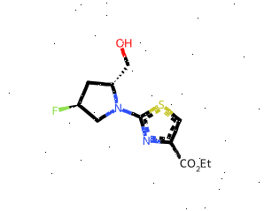 CCOC(=O)c1csc(N2C[C@@H](F)C[C@@H]2CO)n1